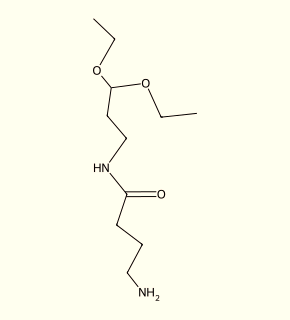 CCOC(CCNC(=O)CCCN)OCC